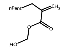 C=C(CCCCCC)C(=O)OCO